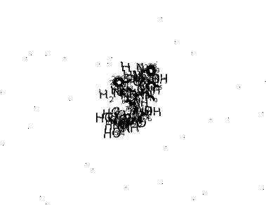 CC[C@H](C)[C@H](NC(=O)C(NC(=O)[C@@H](NC(=O)OCc1ccccc1)[C@H](N)c1ccccc1)[C@H](O)C(C)C)C(=O)N[C@H](CCCNC(=N)N)C(=O)N[C@H](C(=O)N[C@H](C(=O)NCC(=O)N[C@@H](CO)C(=O)N[C@@H](CO)C(=O)O)[C@H](C)O)[C@@H](C)CC